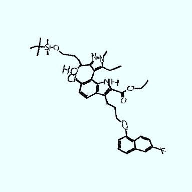 CCOC(=O)c1[nH]c2c(-c3c(C(O)CCO[Si](C)(C)C(C)(C)C)nn(C)c3CC)c(Cl)ccc2c1CCCOc1cccc2cc(F)ccc12